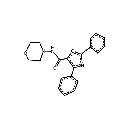 O=C(NN1CCOCC1)c1oc(-c2ccccc2)nc1-c1ccccc1